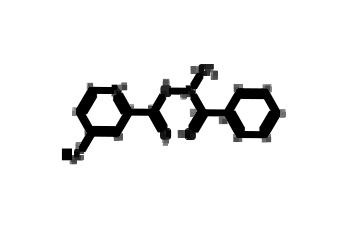 Cc1ccnc(C(=O)ON(C(=O)c2ccccc2)C(F)(F)F)c1